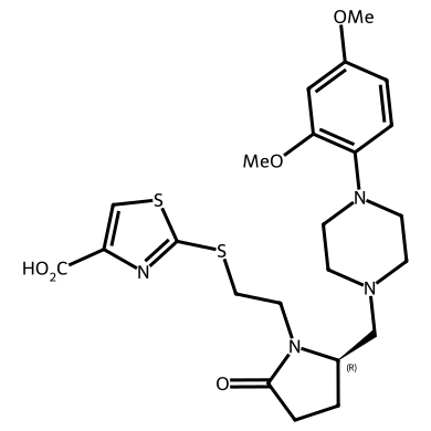 COc1ccc(N2CCN(C[C@H]3CCC(=O)N3CCSc3nc(C(=O)O)cs3)CC2)c(OC)c1